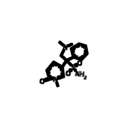 CN(C)CC(c1ccccc1)(c1ccc(=O)n(C)c1)S(N)(=O)=O